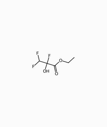 CCOC(=O)C(O)(F)C(F)F